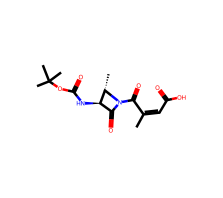 C/C(=C/C(=O)O)C(=O)N1C(=O)[C@@H](NC(=O)OC(C)(C)C)[C@@H]1C